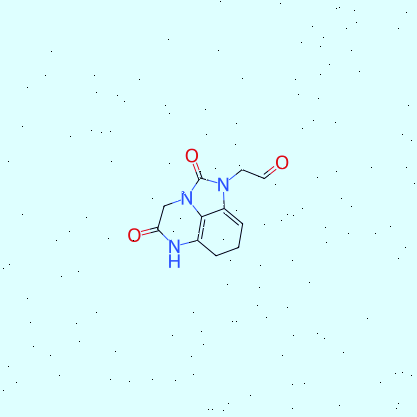 O=CCn1c2c3n(c1=O)CC(=O)NC=3CCC=2